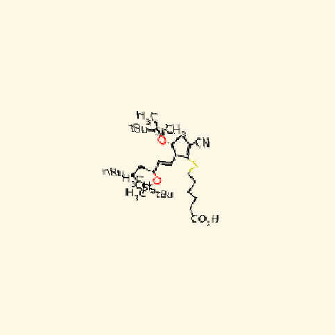 CCCC[C@@H](C)C[C@@H](C=C[C@@H]1C(SCCCCCC(=O)O)=C(C#N)C[C@H]1O[Si](C)(C)C(C)(C)C)O[Si](C)(C)C(C)(C)C